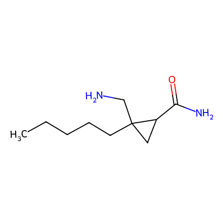 CCCCCC1(CN)CC1C(N)=O